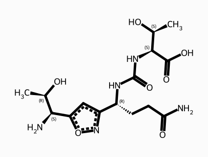 C[C@H](O)[C@H](NC(=O)N[C@H](CCC(N)=O)c1cc([C@@H](N)[C@@H](C)O)on1)C(=O)O